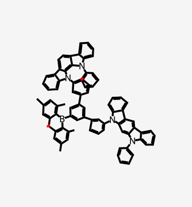 Cc1cc(C)c(B(c2cc(-c3cccc(-n4c5ccccc5c5cc6c7ccccc7n(-c7ccccc7)c6cc54)c3)cc(-c3cccc(-n4c5ccccc5c5ccc6c7ccccc7n(-c7ccccc7)c6c54)c3)c2)c2c(C)cc(C)cc2C)c(C)c1